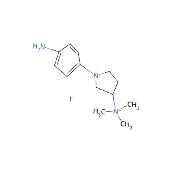 C[N+](C)(C)C1CCN(c2ccc(N)cc2)C1.[I-]